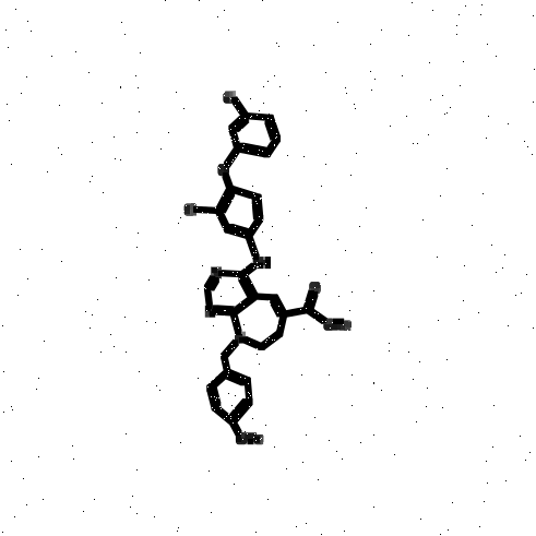 COC(=O)C1=Cc2c(Nc3ccc(Oc4cccc(Cl)c4)c(Cl)c3)ncnc2N(Cc2ccc(OC)cc2)CC1